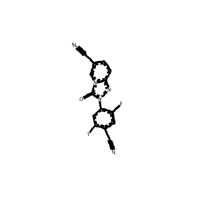 N#Cc1ccc2nn(-c3cc(F)c(C#N)cc3F)c(=O)n2c1